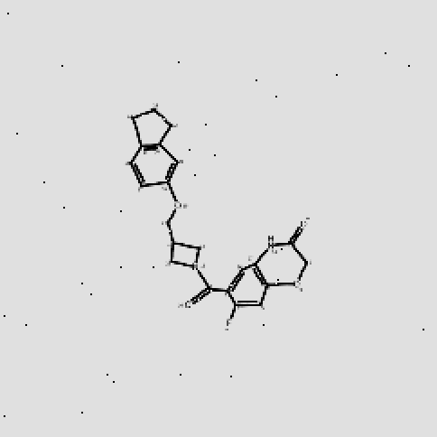 O=C1COc2cc(F)c(C(=O)N3CC(COc4ccc5c(c4)CCC5)C3)cc2N1